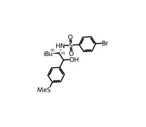 CC[C@H](C)[C@H](NS(=O)(=O)c1ccc(Br)cc1)C(O)c1ccc(SC)cc1